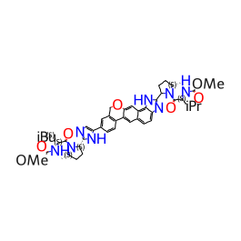 CC[C@H](C)[C@H](NC(=O)OC)C(=O)N1[C@@H](C)CC[C@H]1c1ncc(-c2ccc3c(c2)COc2cc4c(ccc5nc(C6CC[C@H](C)N6C(=O)[C@@H](NC(=O)OC)C(C)C)[nH]c54)cc2-3)[nH]1